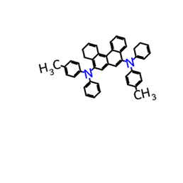 Cc1ccc(N(C2=CC=CCC2)c2cc3cc(N(c4ccccc4)c4ccc(C)cc4)c4c(c3c3ccccc23)C=CCC4)cc1